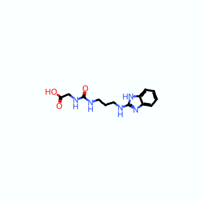 O=C(O)CNC(=O)NCCCNc1nc2ccccc2[nH]1